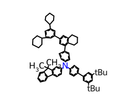 CC(C)(C)c1cc(-c2ccc(N(c3ccc(-c4cc(-c5cc(C6CCCCC6)cc(C6CCCCC6)c5)cc5c4CCCC5)cc3)c3ccc4c(c3)C(C)(C)c3ccccc3-4)cc2)cc(C(C)(C)C)c1